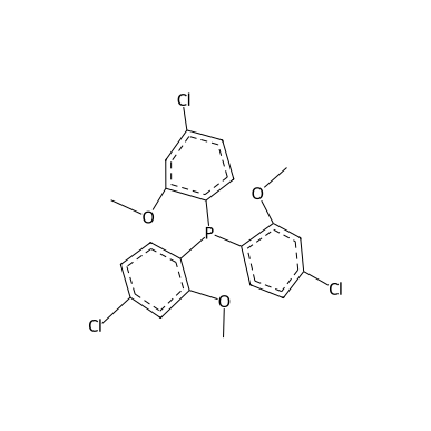 COc1cc(Cl)ccc1P(c1ccc(Cl)cc1OC)c1ccc(Cl)cc1OC